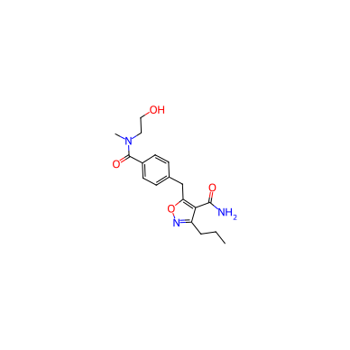 CCCc1noc(Cc2ccc(C(=O)N(C)CCO)cc2)c1C(N)=O